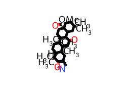 COC(=O)[C@]12CCC(C)(C)CC1C1C(=O)C=C3[C@@]4(C)Cc5cnoc5C(C)(C)[C@@H]4CC[C@@]3(C)[C@]1(C)CC2